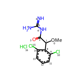 COC(C(=O)NC(=N)N)c1c(Cl)cccc1Cl.Cl